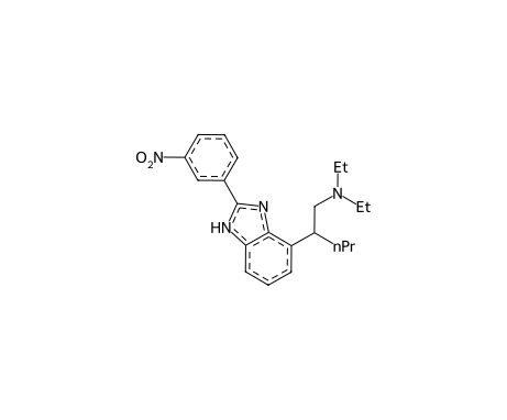 CCCC(CN(CC)CC)c1cccc2[nH]c(-c3cccc([N+](=O)[O-])c3)nc12